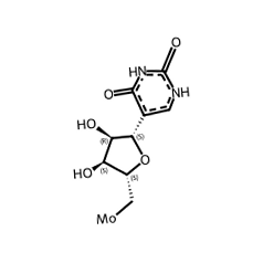 O=c1[nH]cc([C@@H]2O[C@H]([CH2][Mo])[C@@H](O)[C@H]2O)c(=O)[nH]1